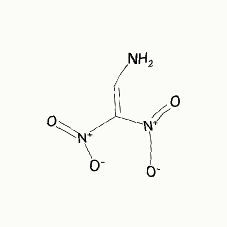 NC=C([N+](=O)[O-])[N+](=O)[O-]